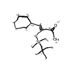 CC(C)(C)[Si](C)(C)OC(=CC1CCCCC1)C(=O)O